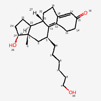 C[C@]12C[C@H](CCCCCCO)C3=C4CCC(=O)C=C4CC[C@H]3[C@@H]1CC[C@@H]2O